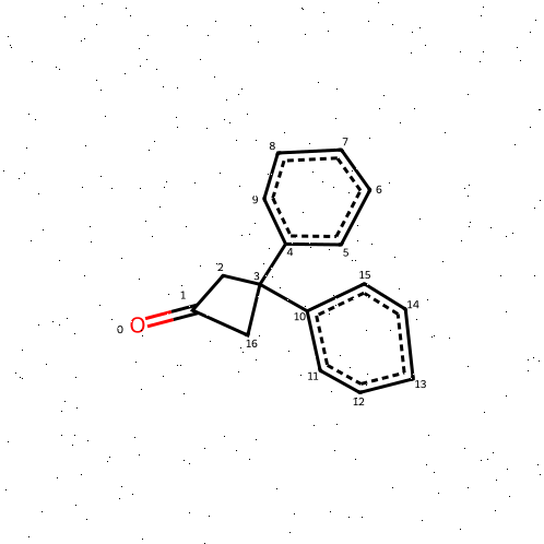 O=C1CC(c2ccccc2)(c2ccccc2)C1